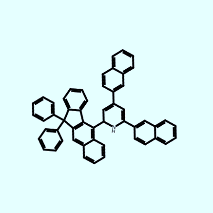 C1=C(c2ccc3ccccc3c2)C=C(c2ccc3ccccc3c2)NC1c1c2c(cc3ccccc13)C(c1ccccc1)(c1ccccc1)c1ccccc1-2